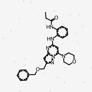 CCC(=O)Nc1ccccc1Nc1cc(N2CCOCC2)n2nc(COCc3ccccc3)cc2n1